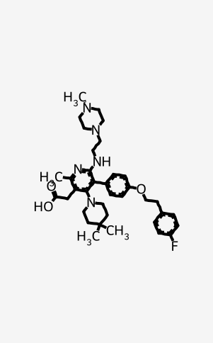 Cc1nc(NCCN2CCN(C)CC2)c(-c2ccc(OCCc3ccc(F)cc3)cc2)c(N2CCC(C)(C)CC2)c1CC(=O)O